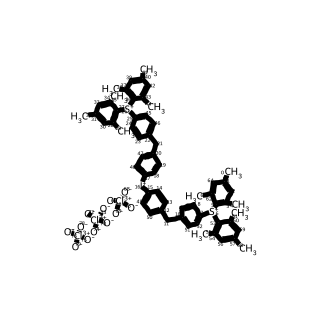 Cc1cc(C)c([S+](c2ccc(Cc3ccc([I+]c4ccc(Cc5ccc([S+](c6c(C)cc(C)cc6C)c6c(C)cc(C)cc6C)cc5)cc4)cc3)cc2)c2c(C)cc(C)cc2C)c(C)c1.[O-][Cl+3]([O-])([O-])[O-].[O-][Cl+3]([O-])([O-])[O-].[O-][Cl+3]([O-])([O-])[O-]